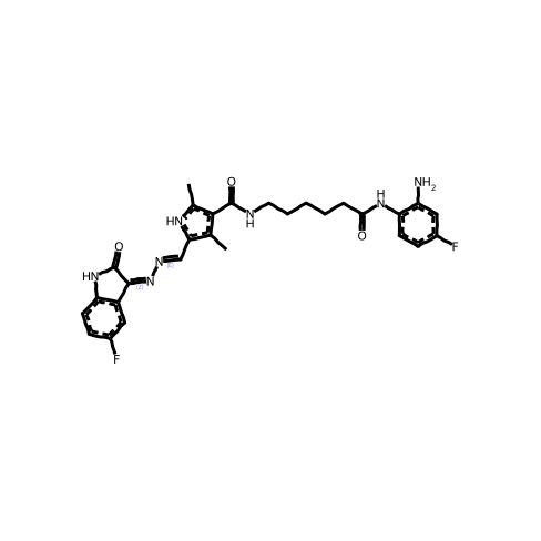 Cc1[nH]c(/C=N/N=C2\C(=O)Nc3ccc(F)cc32)c(C)c1C(=O)NCCCCCC(=O)Nc1ccc(F)cc1N